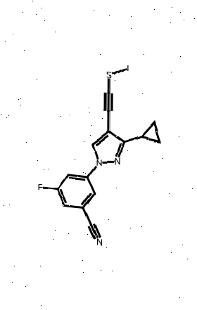 N#Cc1cc(F)cc(-n2cc(C#CSI)c(C3CC3)n2)c1